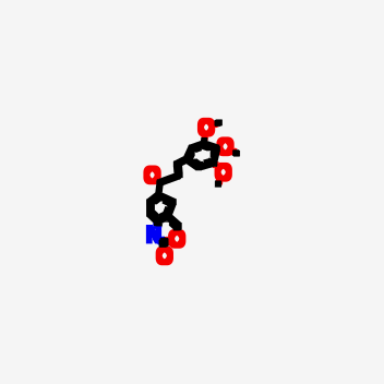 COc1cc(C=CC(=O)c2ccc3nc(=O)occ3c2)cc(OC)c1OC